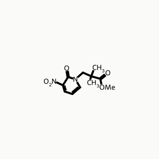 COC(=O)C(C)(C)Cn1cccc([N+](=O)[O-])c1=O